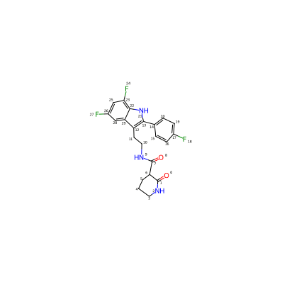 O=C1NCCCC1C(=O)NCCc1c(-c2ccc(F)cc2)[nH]c2c(F)cc(F)cc12